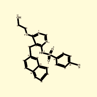 O=S(=O)(Nc1ncnc(OCCO)c1Cc1ccc2ccccc2c1)c1ccc(Cl)cc1